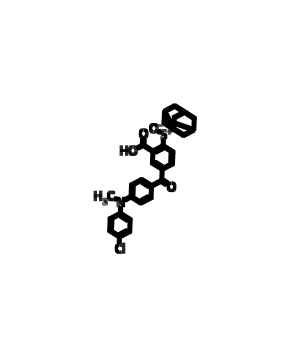 CN(c1ccc(Cl)cc1)c1ccc(C(=O)c2ccc([S+]([O-])C34CC5CC(CC(C5)C3)C4)c(C(=O)O)c2)cc1